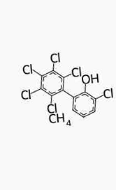 C.Oc1c(Cl)cccc1-c1c(Cl)c(Cl)c(Cl)c(Cl)c1Cl